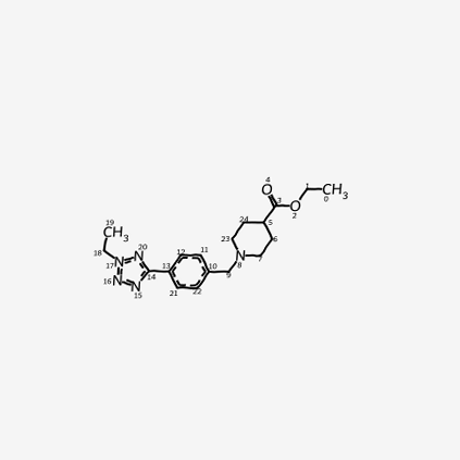 CCOC(=O)C1CCN(Cc2ccc(-c3nnn(CC)n3)cc2)CC1